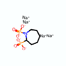 O=P([O-])([O-])C1CCCCCN1P(=O)([O-])[O-].[Na+].[Na+].[Na+].[Na+]